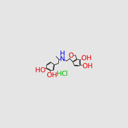 CC(Cc1ccc(O)c(O)c1)NCC1OCc2c1ccc(O)c2O.Cl